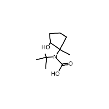 CC(C)(C)N(C(=O)O)C1(C)CCCC1O